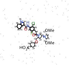 COC[C@H]1CC[C@@H](COC)N1[C@H]1C[C@@H](CO[C@H]2CC[C@H](C(=O)O)CC2)N(C(=O)Cc2cc(Cl)c(NC(=O)c3cn(C)c4ccccc34)cc2F)C1